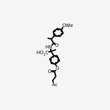 COc1ccc(C(C)C(=O)NC(C)(C(=O)O)c2ccc(OC(=O)CCC(C)=O)cc2)cc1